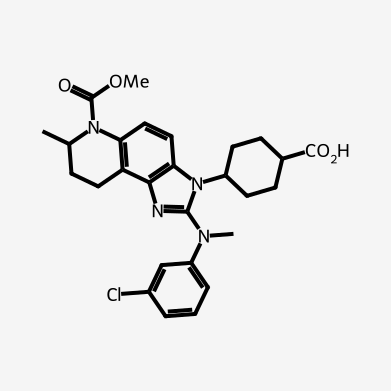 COC(=O)N1c2ccc3c(nc(N(C)c4cccc(Cl)c4)n3C3CCC(C(=O)O)CC3)c2CCC1C